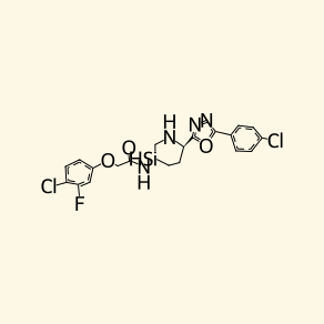 O=C(COc1ccc(Cl)c(F)c1)N[Si@H]1CC[C@H](c2nnc(-c3ccc(Cl)cc3)o2)NC1